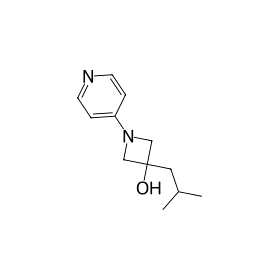 CC(C)CC1(O)CN(c2ccncc2)C1